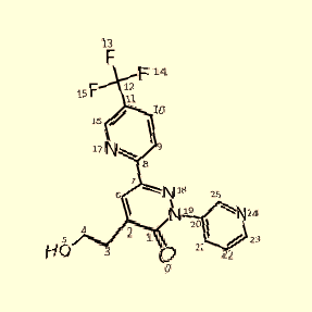 O=c1c(CCO)cc(-c2ccc(C(F)(F)F)cn2)nn1-c1cccnc1